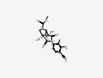 COC(=O)N1C[C@H]2CC1[C@H]1C(=O)N(c3ccc(C#N)c(Cl)c3C)C(=O)N21